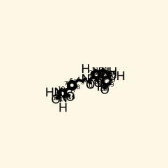 O=C(NCCc1ccc(-c2c[nH]c(=O)[nH]c2=O)cc1)c1ccc2c3c1O[C@H]1C(=O)CC[C@@]4(O)[C@@H](C2)NCC[C@]314